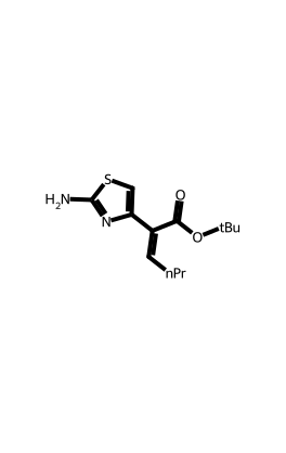 CCC/C=C(\C(=O)OC(C)(C)C)c1csc(N)n1